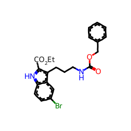 CCOC(=O)c1[nH]c2ccc(Br)cc2c1CCCNC(=O)OCc1ccccc1